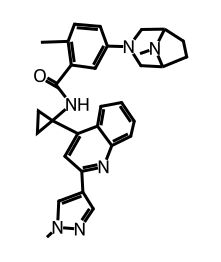 Cc1ccc(N2CC3CCC(C2)N3C)cc1C(=O)NC1(c2cc(-c3cnn(C)c3)nc3ccccc23)CC1